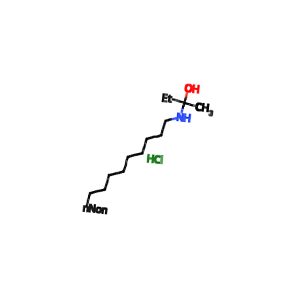 CCCCCCCCCCCCCCCCCCNC(C)(O)CC.Cl